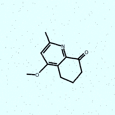 COc1cc(C)nc2c1CCCC2=O